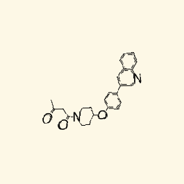 CC(=O)CC(=O)N1CCC(Oc2ccc(-c3cnc4ccccc4c3)cc2)CC1